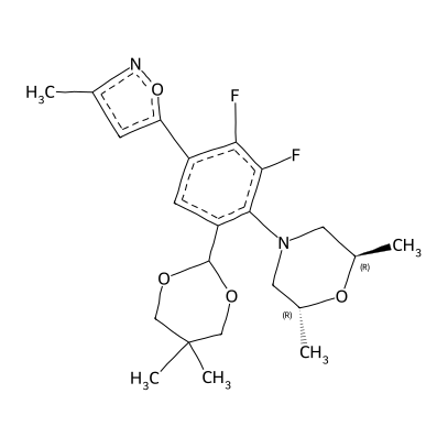 Cc1cc(-c2cc(C3OCC(C)(C)CO3)c(N3C[C@@H](C)O[C@H](C)C3)c(F)c2F)on1